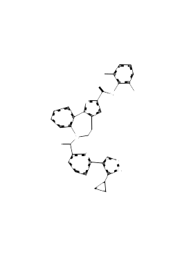 Cc1cccc(F)c1NC(=O)c1cc2c(o1)-c1ccccc1N(C(O)c1cccc(-c3c[nH]nc3C3CC3)n1)CC2